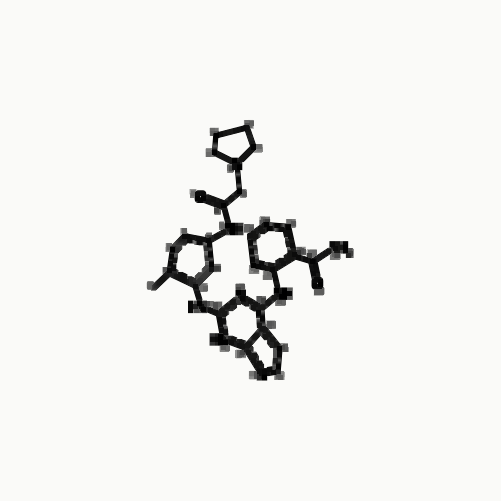 Cc1ccc(NC(=O)CN2CCCC2)cc1Nc1nc(Nc2ccccc2C(N)=O)c2ccnc-2[nH]1